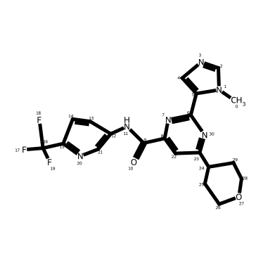 Cn1cncc1-c1nc(C(=O)Nc2ccc(C(F)(F)F)nc2)cc(C2CCOCC2)n1